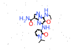 CC(C)n1cccc(Nc2nc3c(C(N)=O)cnn3c3c2OCCN3)c1=O